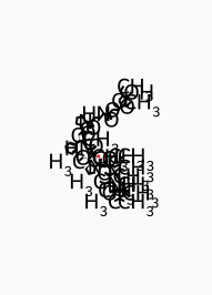 CCC(CO)OC(COC(=O)NCCC(=O)N1CCCC1C(=O)O[C@@H](c1ccccc1)[C@@H](C)NC(=O)[C@H](C)[C@@H](OC)[C@@H]1CCCN1C(=O)C[C@@H](OC)[C@H]([C@@H](C)CC)N(C)C(=O)C(NC(=O)[C@H](C(C)C)N(C)C)C(C)C)OC